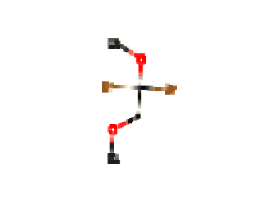 CCOCC(Br)(Br)OCC